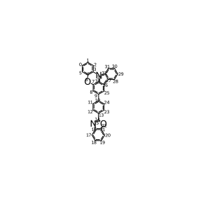 c1ccc2c(c1)Oc1cc(-c3ccc(-c4nc5ccccc5o4)cc3)cc3c4ccccc4n-2c13